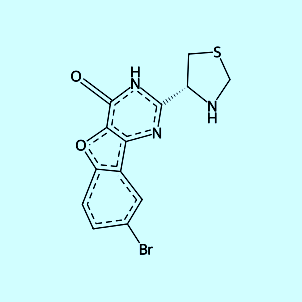 O=c1[nH]c([C@@H]2CSCN2)nc2c1oc1ccc(Br)cc12